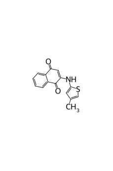 Cc1csc(NC2=CC(=O)c3ccccc3C2=O)c1